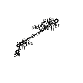 CC[C@@H](NC(=O)[C@@H]1C[C@H](NC(=O)COCCOCCOCCOCCOc2cc3nccc(Nc4ccc5scnc5c4)c3cc2S(=O)(=O)C(C)(C)C)CN1C(=O)[C@@H](NC(=O)[C@H](C)N(C)C(=O)OC(C)(C)C)C(C)(C)C)c1ccccc1